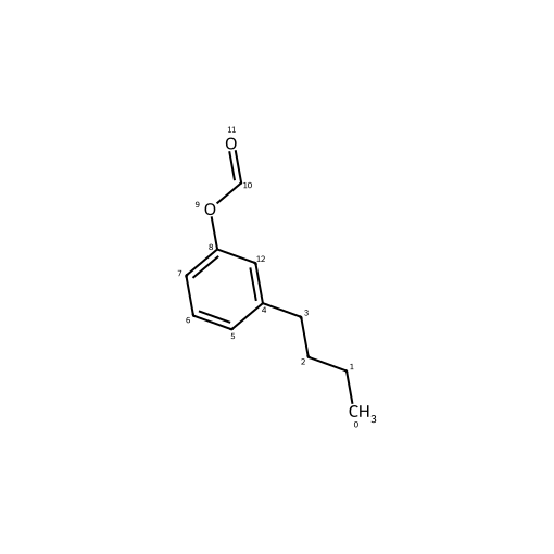 CCCCc1cccc(OC=O)c1